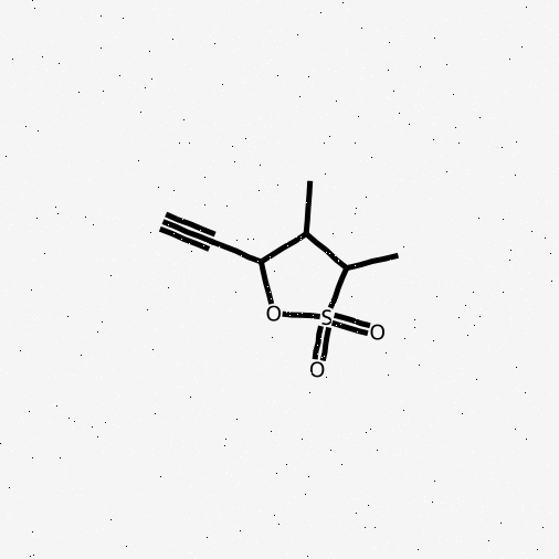 C#CC1OS(=O)(=O)C(C)C1C